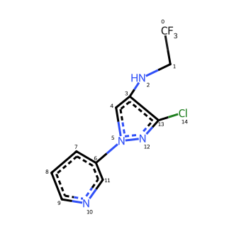 FC(F)(F)CNc1cn(-c2cccnc2)nc1Cl